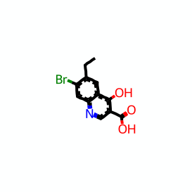 CCc1cc2c(O)c(C(=O)O)cnc2cc1Br